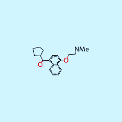 CNCCOc1ccc(C(=O)C2CCCC2)c2ccccc12